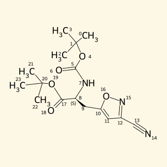 CC(C)(C)OC(=O)N[C@@H](Cc1cc(C#N)no1)C(=O)OC(C)(C)C